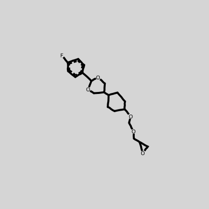 Fc1ccc(C2OCC(C3CCC(OCOCC4CO4)CC3)CO2)cc1